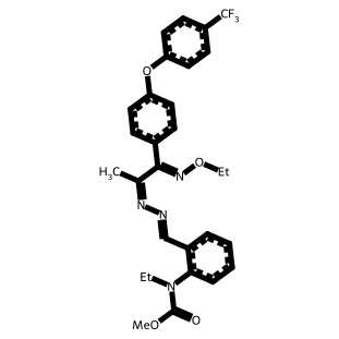 CCON=C(C(C)=NN=Cc1ccccc1N(CC)C(=O)OC)c1ccc(Oc2ccc(C(F)(F)F)cc2)cc1